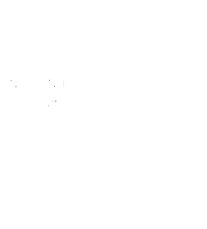 COc1cc(C)c(/C=C/C(C)=C/C=C/C(C)=C/C(=O)Nc2ccncc2)c(C)c1C